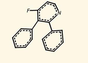 Fc1ccnc(-c2ccccc2)c1-c1ccccc1